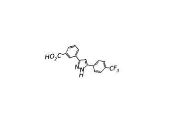 O=C(O)c1cccc(-c2cc(-c3ccc(C(F)(F)F)cc3)[nH]n2)c1